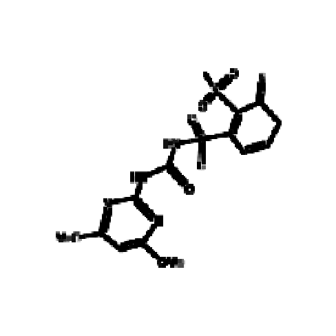 COc1cc(OC)nc(NC(=O)NS(=O)(=O)C2=C(S(C)(=O)=O)C(=S)CC=C2)n1